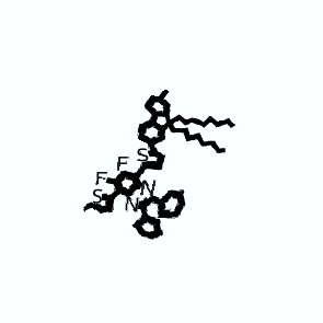 CCCCCCCCC1(CCCCCCCC)c2cc(C)ccc2-c2ccc(-c3ccc(-c4c(F)c(F)c(-c5ccc(C)s5)c5nc(-c6ccccc6)c(-c6ccccc6)nc45)s3)cc21